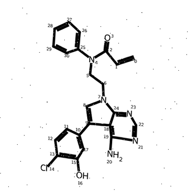 C=CC(=O)N(CCn1cc(-c2ccc(Cl)c(O)c2)c2c(N)ncnc21)c1ccccc1